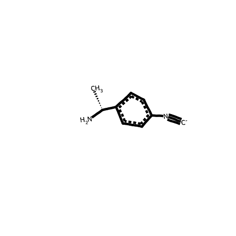 [C-]#[N+]c1ccc([C@@H](C)N)cc1